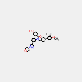 COc1ccc(C2CCC(CN(C(=O)C3CCC(O)CC3)c3cccc(-c4cnn(C5CCOCC5)c4)c3)CC2)cc1C